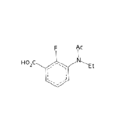 CCN(C(C)=O)c1cccc(C(=O)O)c1F